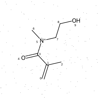 C=C(C)C(=O)[N+](C)CCO